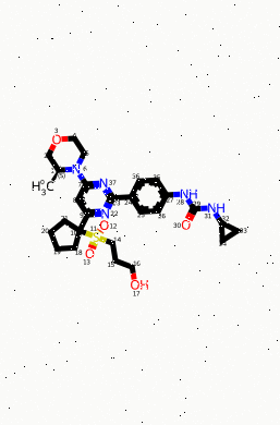 C[C@H]1COCCN1c1cc(C2(S(=O)(=O)CCCO)CCCC2)nc(-c2ccc(NC(=O)NC3CC3)cc2)n1